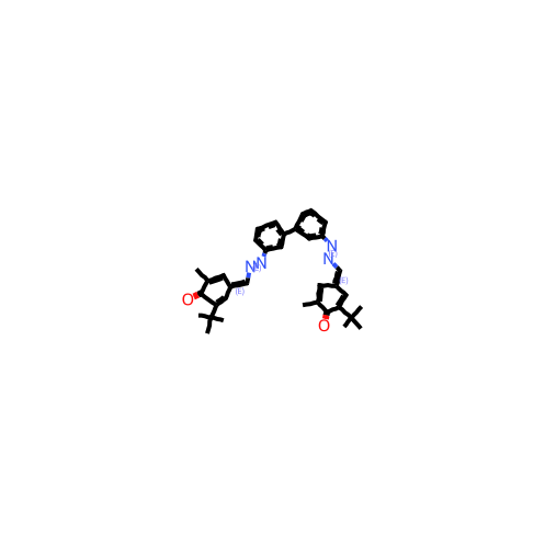 CC1=C/C(=C\N=N\c2cccc(-c3cccc(/N=N/C=C4\C=C(C)C(=O)C(C(C)(C)C)=C4)c3)c2)C=C(C(C)(C)C)C1=O